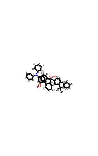 COc1cc(N(c2ccccc2)c2ccccc2)ccc1-c1ccccc1C(O)(c1ccccc1)c1ccc2c(c1)C(C)(C)c1ccccc1-2